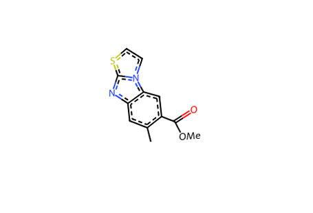 COC(=O)c1cc2c(cc1C)nc1sccn12